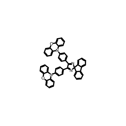 c1ccc2c(c1)Oc1ccccc1N2c1ccc(C2=NC3(N=C2c2ccc(N4c5ccccc5Oc5ccccc54)cc2)c2ccccc2-c2ccccc23)cc1